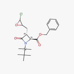 CC(C)(C)[Si](C)(C)N1C(=O)[C@H](CC2OC2Cl)[C@H]1C(=O)OCc1ccccc1